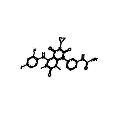 CCCC(=O)Nc1cccc(-n2c(=O)n(C3CC3)c(=O)c3c(Nc4ccc(I)cc4F)n(C)c(=O)c(C)c32)c1